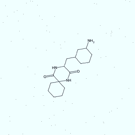 NC1CCCC(CC2NC(=O)C3(CCCCC3)NC2=O)C1